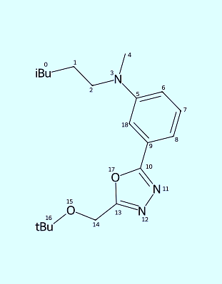 CCC(C)CCN(C)c1cccc(-c2nnc(COC(C)(C)C)o2)c1